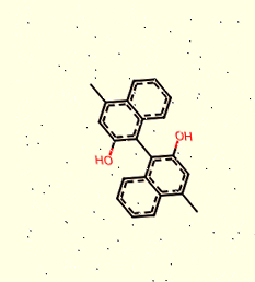 Cc1cc(O)c(-c2c(O)cc(C)c3ccccc23)c2ccccc12